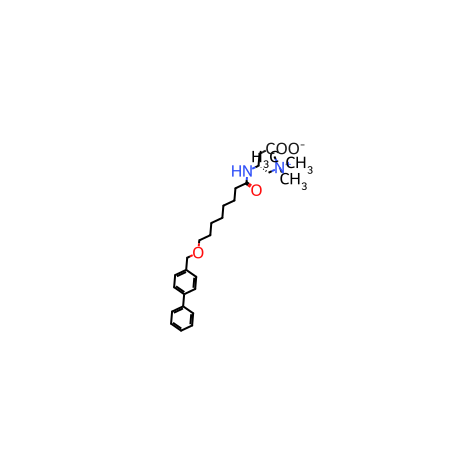 C[N+](C)(C)C[C@@H](CC(=O)[O-])NC(=O)CCCCCCCOCc1ccc(-c2ccccc2)cc1